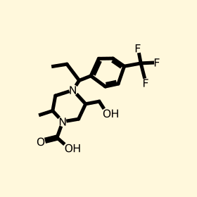 CCC(c1ccc(C(F)(F)F)cc1)N1CC(C)N(C(=O)O)CC1CO